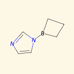 c1cn(B2CCC2)cn1